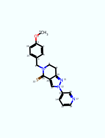 COc1ccc(CN2CCc3nn(-c4cccnc4)cc3C2=S)cc1